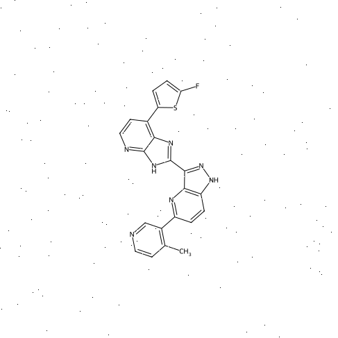 Cc1ccncc1-c1ccc2[nH]nc(-c3nc4c(-c5ccc(F)s5)ccnc4[nH]3)c2n1